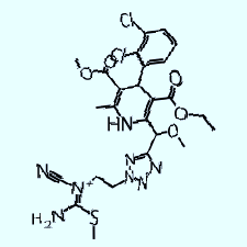 CCOC(=O)C1=C(C(OC)c2nnn(CC[N+](C#N)=C(N)SC)n2)NC(C)=C(C(=O)OC)C1c1cccc(Cl)c1Cl